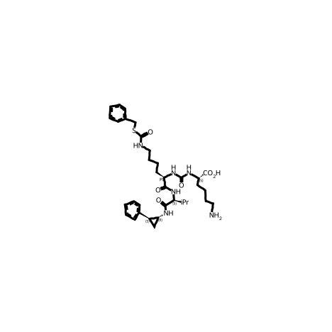 CC(C)[C@H](NC(=O)[C@@H](CCCCNC(=O)SCc1ccccc1)NC(=O)N[C@@H](CCCCN)C(=O)O)C(=O)N[C@@H]1C[C@H]1c1ccccc1